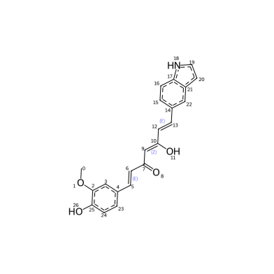 COc1cc(/C=C/C(=O)/C=C(O)/C=C/c2ccc3[nH]ccc3c2)ccc1O